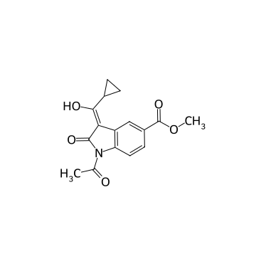 COC(=O)c1ccc2c(c1)/C(=C(/O)C1CC1)C(=O)N2C(C)=O